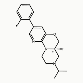 CC(C)N1CCN2c3ncc(-c4ccccc4F)cc3OC[C@H]2C1